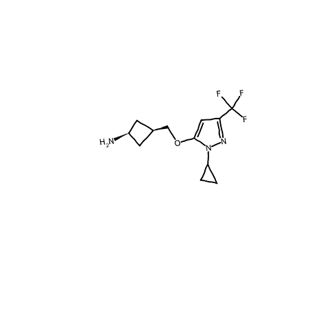 N[C@H]1C[C@@H](COc2cc(C(F)(F)F)nn2C2CC2)C1